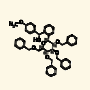 COc1ccc(C(O)c2ccccc2[C@@H]2O[C@H](COCc3ccccc3)[C@@H](OCc3ccccc3)[C@H](OCc3ccccc3)[C@H]2OCc2ccccc2)cc1